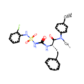 COc1ccc(N(C)C(=O)[C@H](Cc2ccccc2)NC(=O)NS(=O)(=O)Nc2ccccc2F)cc1